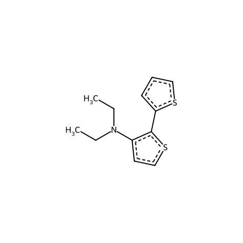 CCN(CC)c1ccsc1-c1cccs1